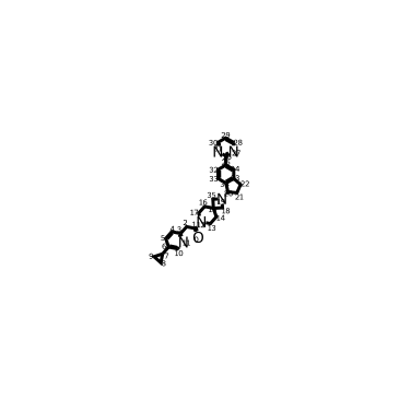 O=C(Cc1ccc(C2CC2)cn1)N1CCC2(CC1)CN(C1CCc3cc(-c4ncccn4)ccc31)C2